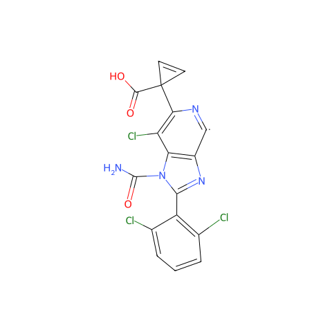 NC(=O)n1c(-c2c(Cl)cccc2Cl)nc2[c]nc(C3(C(=O)O)C=C3)c(Cl)c21